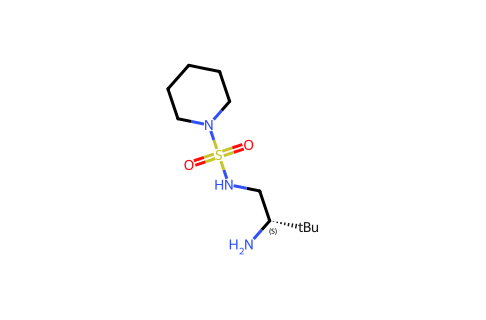 CC(C)(C)[C@H](N)CNS(=O)(=O)N1CCCCC1